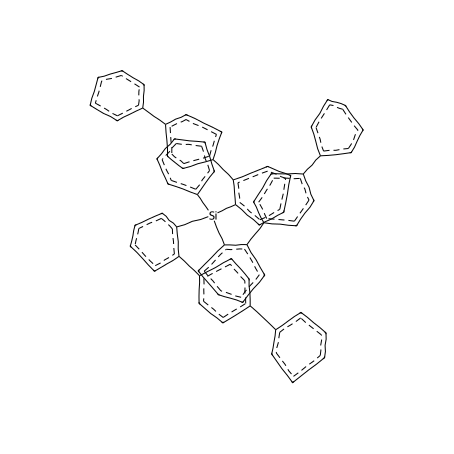 c1ccc(-c2ccc(-c3ccccc3[Si](c3ccccc3)(c3ccccc3-c3ccc(-c4ccccc4)cc3)c3ccccc3-c3ccc(-c4ccccc4)cc3)cc2)cc1